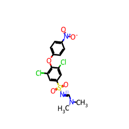 CN(C)/C=N/S(=O)(=O)c1cc(Cl)c(Oc2ccc([N+](=O)[O-])cc2)c(Cl)c1